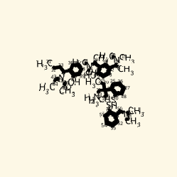 CC(c1ccc(O)c(C(C)N(C)C)c1)N(C)C.CCC(CC)(CN)c1ccccc1S.CCCC(c1ccccc1O)N(CC)CC.CN(C)Cc1ccccc1S